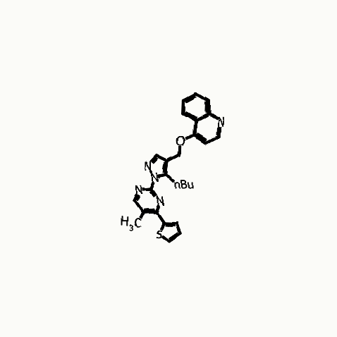 CCCCc1c(COc2ccnc3ccccc23)cnn1-c1ncc(C)c(-c2cccs2)n1